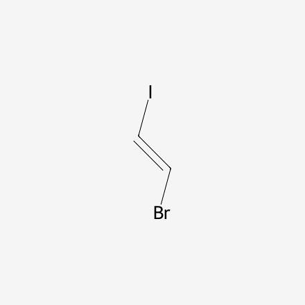 BrC=CI